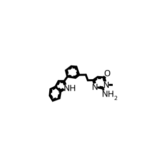 Cn1c(N)nc(CCc2cccc(-c3cc4ccccc4[nH]3)c2)cc1=O